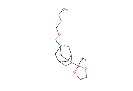 CCCCOCC12CC3CC(C1)C(C1(C)OCCO1)(C3)C2